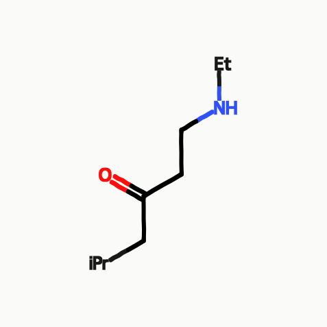 CCNCCC(=O)CC(C)C